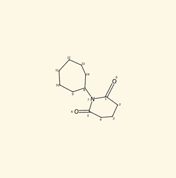 O=C1CCCC(=O)N1C1CCCCCC1